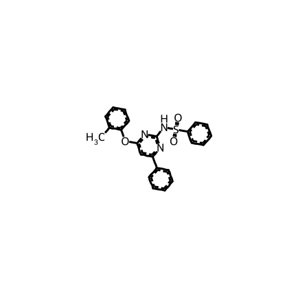 Cc1ccccc1Oc1cc(-c2ccccc2)nc(NS(=O)(=O)c2ccccc2)n1